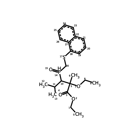 CCOC(=O)C(C)(OCC)C(C(C)C)[PH](=O)CSc1cccc2ccccc12